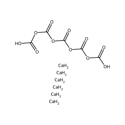 O=C(O)OC(=O)OC(=O)OC(=O)OC(=O)O.[CaH2].[CaH2].[CaH2].[CaH2].[CaH2].[CaH2]